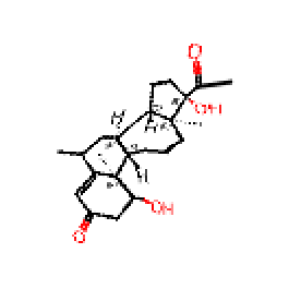 CC(=O)[C@@]1(O)CC[C@H]2[C@@H]3CC(C)C4=CC(=O)CC(O)[C@]4(C)[C@H]3CC[C@@]21C